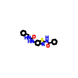 O=C(NCc1ccccc1)Nc1ccc2nc(NC(=O)c3ccccc3)sc2c1